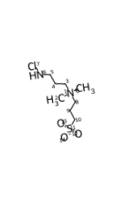 C[N+](C)(CCCNCl)CCCS(=O)(=O)[O-]